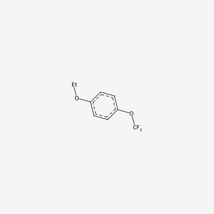 CCOc1c[c]c(OC(F)(F)F)cc1